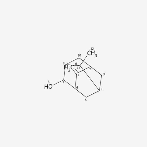 C=C1C2CC3CC1C(O)C(C2)C3C